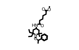 CCC1(CC)CC(NC(=O)CCCCC(=O)OC)CC(C)(C)N1OC(C)c1ccccc1